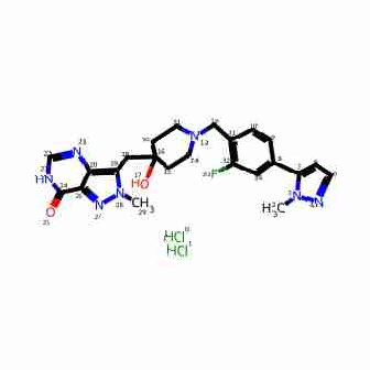 Cl.Cl.Cn1nccc1-c1ccc(CN2CCC(O)(Cc3c4nc[nH]c(=O)c4nn3C)CC2)c(F)c1